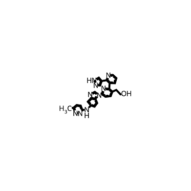 Cc1ccc(Nc2ccc3c(c2)ncn3-c2ccc(CCO)c(-c3cccnc3-c3cn[nH]c3)n2)nn1